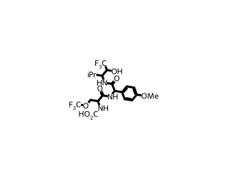 COc1ccc(C(NC(=O)C(COC(F)(F)F)NC(=O)O)C(=O)NC(C(C)C)C(O)C(F)(F)F)cc1